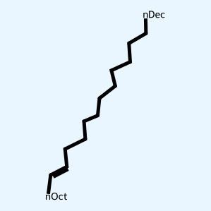 [CH2]CCCCCCCC=CCCCCCCCCCCCCCCCCCCCC